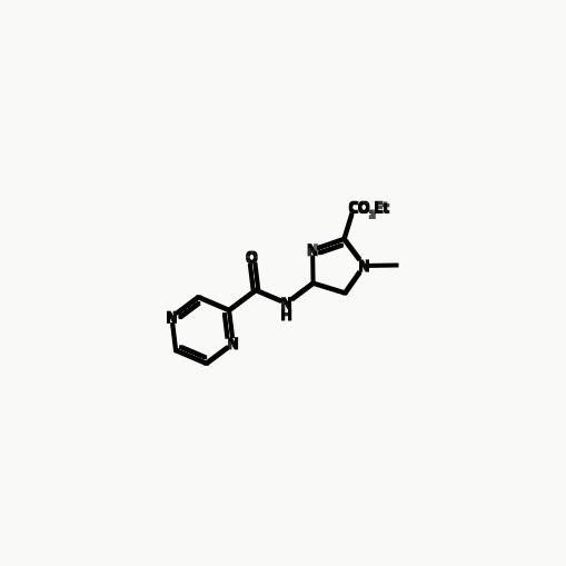 CCOC(=O)C1=NC(NC(=O)c2cnccn2)CN1C